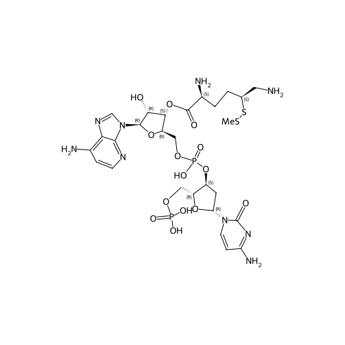 CSS[C@H](CN)CC[C@H](N)C(=O)O[C@H]1[C@@H](O)[C@H](n2cnc3c(N)ccnc32)O[C@@H]1COP(=O)(O)O[C@H]1C[C@H](n2ccc(N)nc2=O)O[C@@H]1COP(=O)(O)O